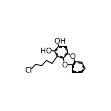 Oc1cc2c(c(CCCCCl)c1O)Oc1ccccc1O2